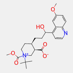 COC(=O)[N+]1(C(C)(C)C)CC[C@@H](CCC(O)c2ccnc3ccc(OC)cc23)[C@@H](C(=O)[O-])C1